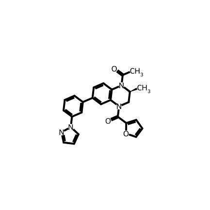 CC(=O)N1c2ccc(-c3cccc(-n4cccn4)c3)cc2N(C(=O)c2ccco2)C[C@@H]1C